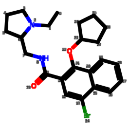 CCN1CCCC1CNC(=O)c1cc(Br)c2ccccc2c1OC1CCCC1